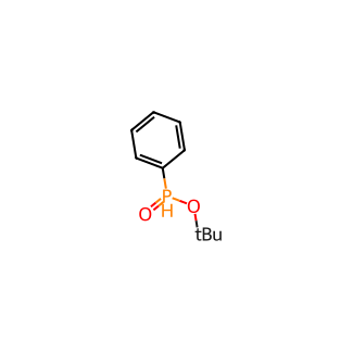 CC(C)(C)O[PH](=O)c1ccccc1